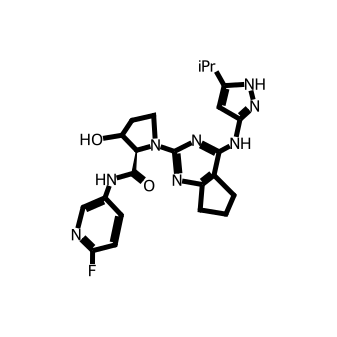 CC(C)c1cc(Nc2nc(N3CCC(O)[C@@H]3C(=O)Nc3ccc(F)nc3)nc3c2CCC3)n[nH]1